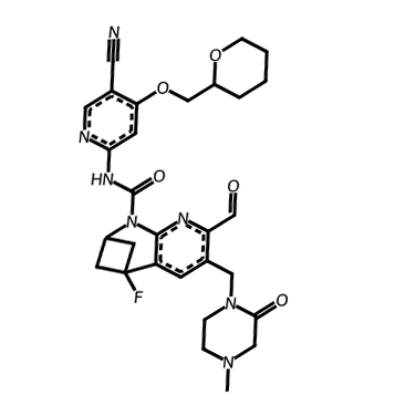 CN1CCN(Cc2cc3c(nc2C=O)N(C(=O)Nc2cc(OCC4CCCCO4)c(C#N)cn2)C2CC3(F)C2)C(=O)C1